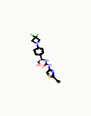 C#Cc1nc(NC(=O)N[C@@H](CO)c2ccc(N3CC(F)(F)C3)cc2)cs1